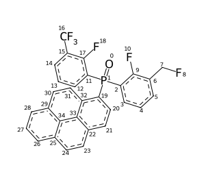 O=P(c1cccc(CF)c1F)(c1cccc(C(F)(F)F)c1F)c1ccc2ccc3cccc4ccc1c2c34